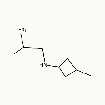 CC1CC(NCC(C)C(C)(C)C)C1